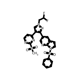 CS(=O)(=O)c1nccc(-c2cn(CC(F)F)nc2-c2cnc3c(ccn3S(=O)(=O)c3ccccc3)c2)n1